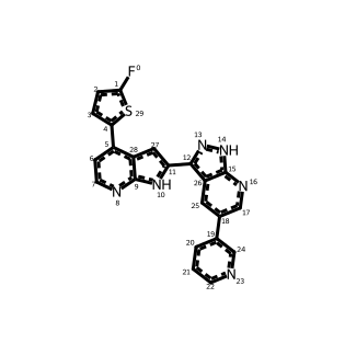 Fc1ccc(-c2ccnc3[nH]c(-c4n[nH]c5ncc(-c6cccnc6)cc45)cc23)s1